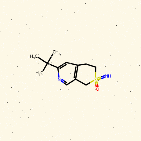 CC(C)(C)c1cc2c(cn1)CS(=N)(=O)CC2